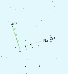 [F-].[F-].[F-].[F-].[F-].[F-].[F-].[Na+].[Zn+2].[Zr+4]